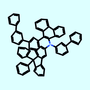 c1ccc(-c2cccc(-c3cccc(-c4c(N(c5cccc(-c6ccccc6)c5)c5ccc6c(c5)-c5ccccc5C6(c5ccccc5)c5ccccc5)c5ccccc5c5ccccc45)c3)c2)cc1